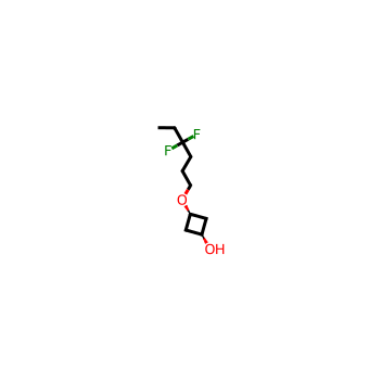 CCC(F)(F)CCCO[C@H]1C[C@@H](O)C1